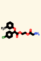 NCC(=O)OCCOC(=O)C(Oc1cccc(C(F)(F)F)c1)c1ccc(Cl)cc1